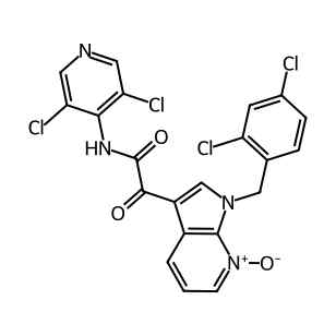 O=C(Nc1c(Cl)cncc1Cl)C(=O)c1cn(Cc2ccc(Cl)cc2Cl)c2c1ccc[n+]2[O-]